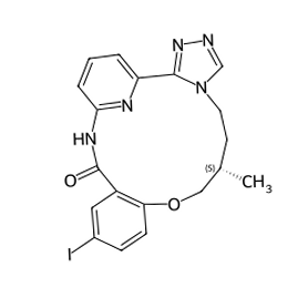 C[C@H]1CCn2cnnc2-c2cccc(n2)NC(=O)c2cc(I)ccc2OC1